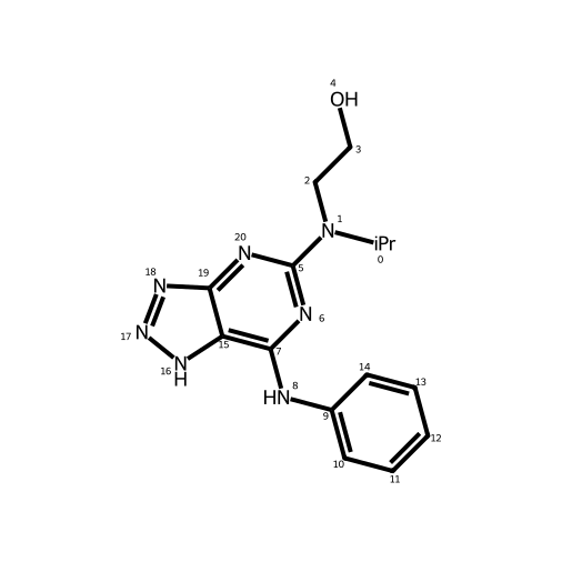 CC(C)N(CCO)c1nc(Nc2ccccc2)c2[nH]nnc2n1